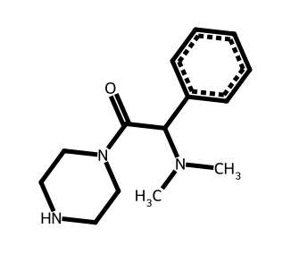 CN(C)C(C(=O)N1CCNCC1)c1ccccc1